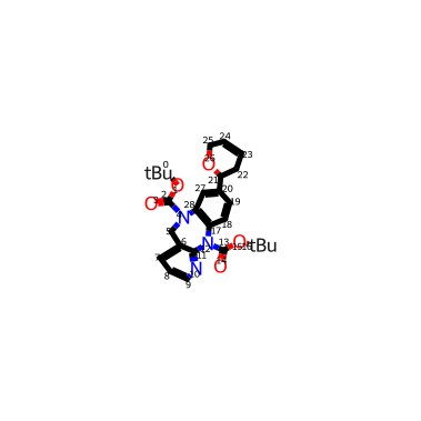 CC(C)(C)OC(=O)N1Cc2cccnc2N(C(=O)OC(C)(C)C)c2ccc(C3CC=CCO3)cc21